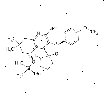 CC(C)c1nc2c(c3c1[C@@H](c1ccc(OC(F)(F)F)cc1)OC31CCCC1I)[C@@H](O[Si](C)(C)C(C)(C)C)CC(C)(C)C2